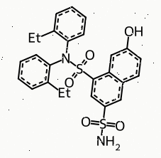 CCc1ccccc1N(c1ccccc1CC)S(=O)(=O)c1cc(S(N)(=O)=O)cc2ccc(O)cc12